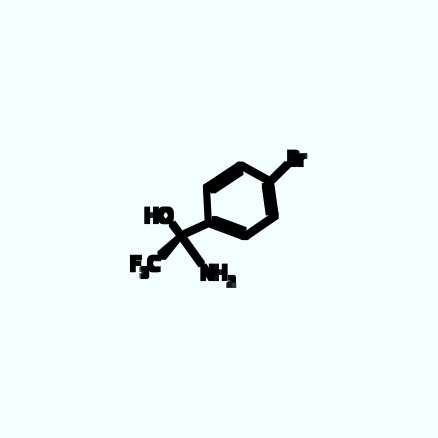 N[C@](O)(c1ccc(Br)cc1)C(F)(F)F